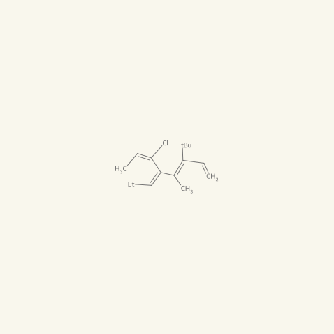 C=C/C(=C(C)/C(=C/CC)C(/Cl)=C\C)C(C)(C)C